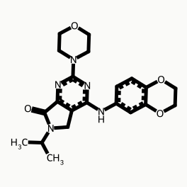 CC(C)N1Cc2c(Nc3ccc4c(c3)OCCO4)nc(N3CCOCC3)nc2C1=O